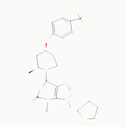 C[C@H]1C[C@@H](Oc2ccc(C(F)(F)F)cc2)CCN1c1nc(=O)n(C)c2c1nnn2C[C@@H]1CCCO1